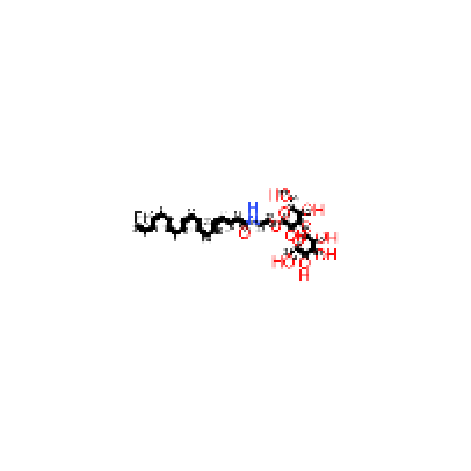 CC/C=C\C/C=C\C/C=C\C/C=C\C/C=C\C/C=C\CCC(=O)NCCO[C@@H]1O[C@H](CO)[C@@H](O)[C@H](O[C@@H]2O[C@H](CO)[C@@H](O)[C@H](O)[C@H]2O)[C@H]1O